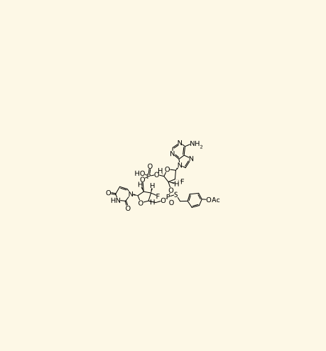 CC(=O)Oc1ccc(CSP2(=O)OC[C@H]3O[C@@H](n4ccc(=O)[nH]c4=O)[C@H](OP(=O)(O)O[C@H]4O[C@@H](n5cnc6c(N)ncnc65)[C@H](F)[C@@H]4O2)[C@@H]3F)cc1